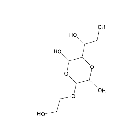 OCCOC1OC(O)C(C(O)CO)OC1O